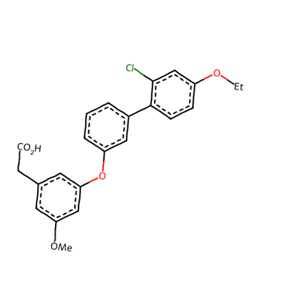 CCOc1ccc(-c2cccc(Oc3cc(CC(=O)O)cc(OC)c3)c2)c(Cl)c1